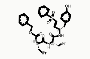 CC(C)C[C@H](NC(=O)OCc1ccccc1)C(=O)N[C@@H](CC(C)C)C(=O)N[C@H](C=CS(=O)(=O)c1ccccc1)Cc1ccc(O)cc1